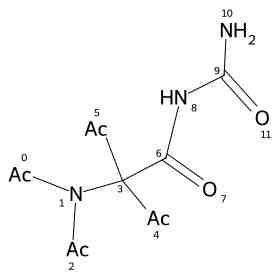 CC(=O)N(C(C)=O)C(C(C)=O)(C(C)=O)C(=O)NC(N)=O